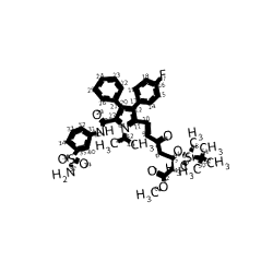 COC(=O)C[C@@H](CC(=O)C=Cc1c(-c2ccc(F)cc2)c(-c2ccccc2)c(C(=O)Nc2cccc(S(N)(=O)=O)c2)n1C(C)C)O[Si](C)(C)C(C)(C)C